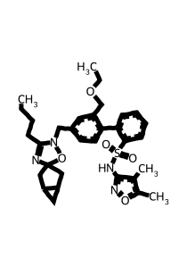 CCCCC1=NC2(CC3CC3C2)ON1Cc1ccc(-c2ccccc2S(=O)(=O)Nc2noc(C)c2C)c(COCC)c1